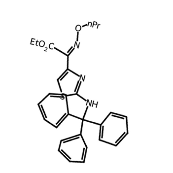 CCCON=C(C(=O)OCC)c1csc(NC(c2ccccc2)(c2ccccc2)c2ccccc2)n1